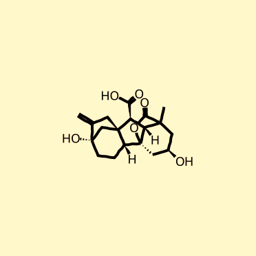 C=C1C[C@]23C[C@@]1(O)CC[C@H]2[C@@]12C[C@H](O)CC(C)(C(=O)O1)[C@H]2[C@@H]3C(=O)O